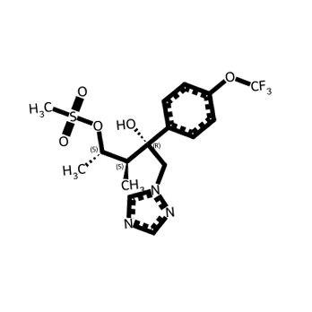 C[C@H](OS(C)(=O)=O)[C@H](C)[C@](O)(Cn1cncn1)c1ccc(OC(F)(F)F)cc1